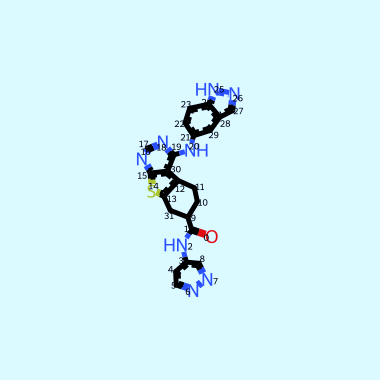 O=C(Nc1ccnnc1)C1CCc2c(sc3ncnc(Nc4ccc5[nH]ncc5c4)c23)C1